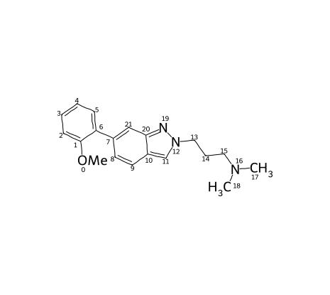 COc1ccccc1-c1ccc2cn(CCCN(C)C)nc2c1